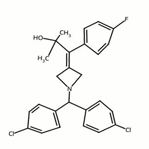 CC(C)(O)C(=C1CN(C(c2ccc(Cl)cc2)c2ccc(Cl)cc2)C1)c1ccc(F)cc1